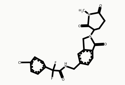 [CH2]N1C(=O)CCC(N2Cc3cc(CNC(=O)C(F)(F)c4ccc(Cl)cc4)ccc3C2=O)C1=O